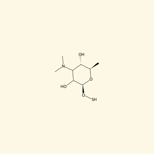 C[C@H]1O[C@@H](OS)C(O)C(N(C)C)[C@@H]1O